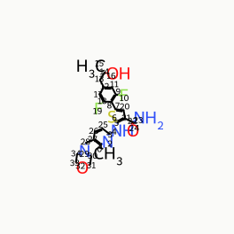 Cc1nc(Nc2sc(-c3c(F)cc(CC(C)O)cc3F)cc2C(N)=O)ccc1CN1CCOCC1